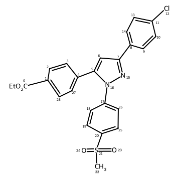 CCOC(=O)c1ccc(-c2cc(-c3ccc(Cl)cc3)nn2-c2ccc(S(C)(=O)=O)cc2)cc1